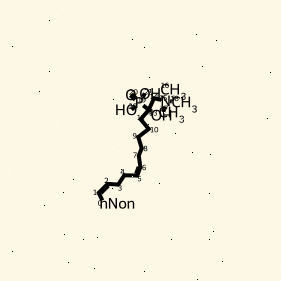 CCCCCCCCC/C=C\CC/C=C\CCCCCC(O)(C[N+](C)(C)C)P(=O)(O)O